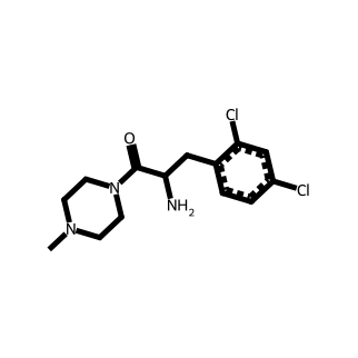 CN1CCN(C(=O)C(N)Cc2ccc(Cl)cc2Cl)CC1